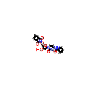 O=C(Nc1ccn([C@H]2CC(O)[C@@H](CON3C(=O)c4ccccc4C3=O)O2)c(=O)n1)c1ccccc1